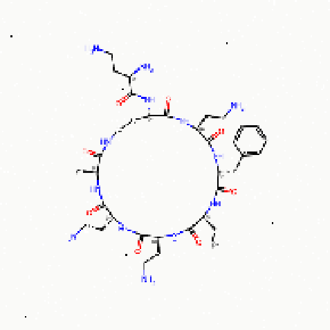 CC(C)C[C@@H]1NC(=O)[C@@H](Cc2ccccc2)NC(=O)[C@H](CCN)NC(=O)[C@@H](NC(=O)[C@H](N)CCN)CCNC(=O)[C@H](C(C)C)NC(=O)[C@H](CCN)NC(=O)[C@H](CCN)NC1=O